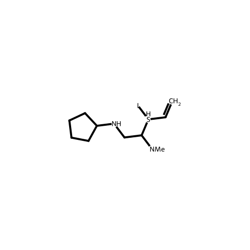 C=C[SH](I)C(CNC1CCCC1)NC